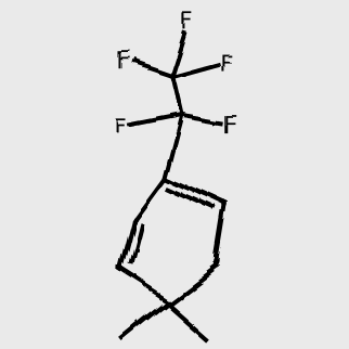 CC1(C)C=CC(C(F)(F)C(F)(F)F)=CC1